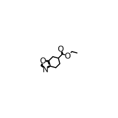 CCOC(=O)C1CCc2ncoc2C1